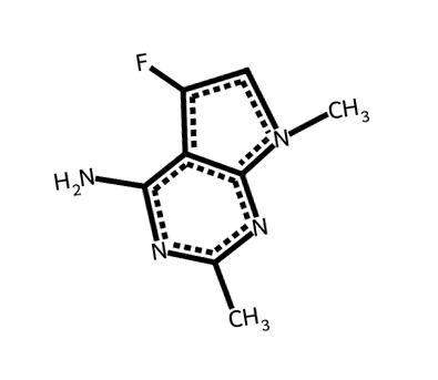 Cc1nc(N)c2c(F)cn(C)c2n1